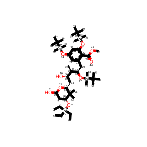 CC[Si](CC)(CC)O[C@@H]1CC(O)O[C@H](C[C@H](O)[C@@H](C)[C@@H](Cc2cc(O[Si](C)(C)C(C)(C)C)cc(O[Si](C)(C)C(C)(C)C)c2C(=O)OC)O[Si](C)(C)C(C)(C)C)C1(C)C